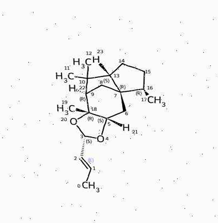 C/C=C/[C@H]1O[C@H]2C[C@@]34C[C@H](C(C)(C)[C@@H]3CC[C@H]4C)[C@@]2(C)O1